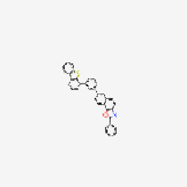 c1ccc(-c2nc3ccc4cc(-c5cccc(-c6cccc7c6sc6ccccc67)c5)ccc4c3o2)cc1